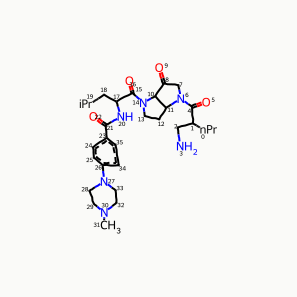 CCCC(CN)C(=O)N1CC(=O)C2C1CCN2C(=O)C(CC(C)C)NC(=O)c1ccc(N2CCN(C)CC2)cc1